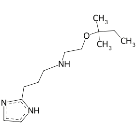 CCC(C)(C)OCCNCCCc1ncc[nH]1